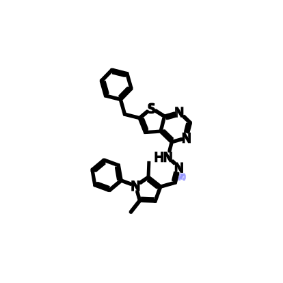 Cc1cc(/C=N\Nc2ncnc3sc(Cc4ccccc4)cc23)c(C)n1-c1ccccc1